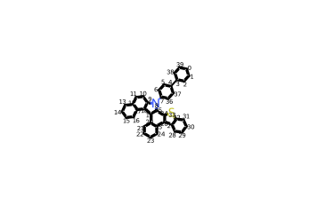 c1ccc(-c2ccc(-n3c4ccc5ccccc5c4c4c5ccccc5c5c6ccccc6sc5c43)cc2)cc1